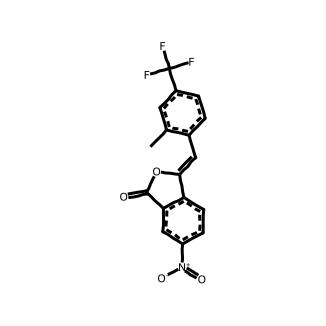 Cc1cc(C(F)(F)F)ccc1/C=C1\OC(=O)c2cc([N+](=O)[O-])ccc21